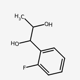 CC(O)C(O)c1ccccc1F